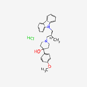 COc1ccc(C2(O)CCN(C[C@H](C)Cn3c4ccccc4c4ccccc43)CC2)cc1.Cl